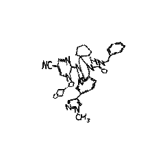 Cn1cc(-c2ccc(N(C(=O)NCc3ccccc3)C3(NC4N=CC(C#N)=CN4OC4COC4)CCCCC3)nc2)cn1